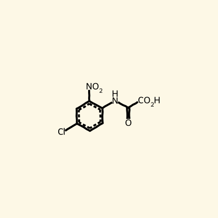 O=C(O)C(=O)Nc1ccc(Cl)cc1[N+](=O)[O-]